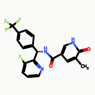 Cc1cc(C(=O)N[C@@H](c2ccc(C(F)(F)F)cc2)c2ncccc2F)c[nH]c1=O